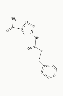 NC(=O)c1cc(NC(=O)[CH]Cc2ccccc2)no1